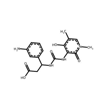 Cc1cn(C)c(=O)c(NC(=O)NC(CC(=O)O)c2cccc(N)c2)c1O